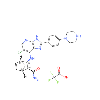 NC(=O)[C@@H]1[C@H](Nc2c(Cl)cnc3[nH]c(-c4ccc(N5CCNCC5)cc4)nc23)[C@H]2C=C[C@@H]1C2.O=C(O)C(F)(F)F